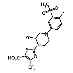 CC(C)C1CN(c2ccc(F)c(S(C)(=O)=O)c2)CCN1c1nc(C(F)(F)F)c(C(=O)O)s1